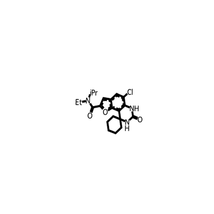 CCN(C(=O)c1cc2cc(Cl)c3c(c2o1)C1(CCCCC1)NC(=O)N3)C(C)C